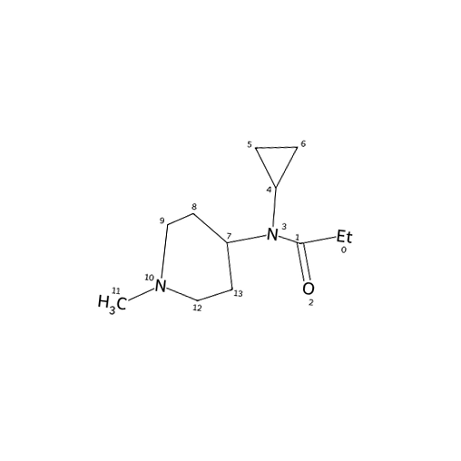 CCC(=O)N(C1CC1)C1CCN(C)CC1